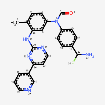 Cc1ccc(N(C=O)c2ccc(C(N)F)cc2)cc1Nc1nccc(-c2cccnc2)n1